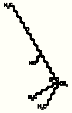 CCCCCCCCCOCCCCCCCCN(CCO)CCCCCCCC(=O)OC(C)(CCCCCCCC)CCCCCCCC